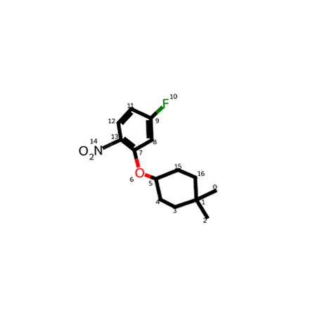 CC1(C)CCC(Oc2cc(F)ccc2[N+](=O)[O-])CC1